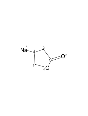 O=C1C[CH]([Na])CO1